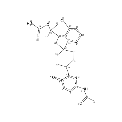 CC(=O)Nc1ccc(=O)n(C2CCC(CCC(C)(C)OC(N)=O)(c3cccc(Cl)c3)CC2)n1